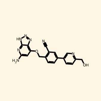 N#Cc1cc(-c2ccc(CO)nc2)ccc1COc1cc(N)nc2[nH]nnc12